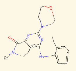 Cc1ccccc1Nc1nc(N2CCOCC2)nc2c1CN(C(C)C)C2=O